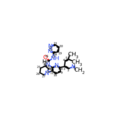 C=N/C=C(\C=C(C)C)c1ccc2c(n1)N(C(=O)Nc1cccnn1)[C@H]1CCCN2C1